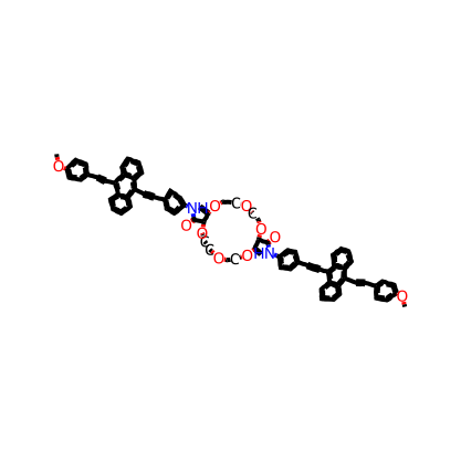 C=C1OCCOCCOC(C(=O)Nc2ccc(C#Cc3c4ccccc4c(C#Cc4ccc(OC)cc4)c4ccccc34)cc2)C(=C)OCCOCCOC1C(=O)Nc1ccc(C#Cc2c3ccccc3c(C#Cc3ccc(OC)cc3)c3ccccc23)cc1